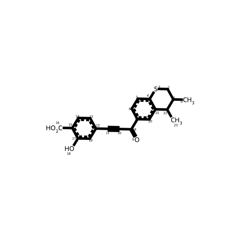 CC1CSc2ccc(C(=O)C#Cc3ccc(C(=O)O)c(O)c3)cc2C1C